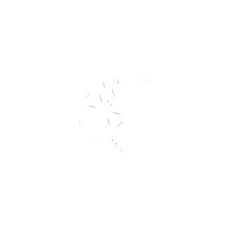 CCOC(=O)c1cn(-c2ccc(CN(C)C)cc2)c2c(OC)c(F)c(F)cc2c1=O